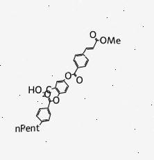 CCCCCc1ccc(C(=O)Oc2ccc(OC(=O)c3ccc(/C=C/C(=O)OC)cc3)cc2C(=O)O)cc1